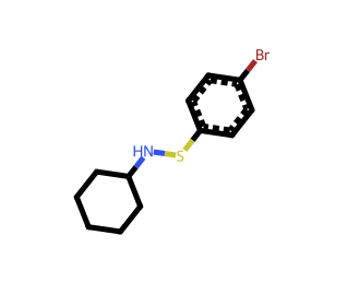 Brc1ccc(SNC2CCCCC2)cc1